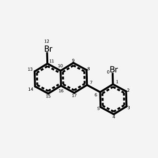 Brc1ccccc1-c1ccc2c(Br)cccc2c1